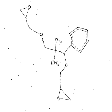 CC(C)(COCC1CO1)C(OCC1CO1)c1ccccc1